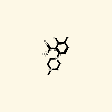 Cc1ccc(N2CCN(C)CC2)c(C(N)=O)c1C